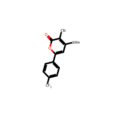 CSc1cc(-c2ccc(C(F)(F)F)cc2)oc(=O)c1C#N